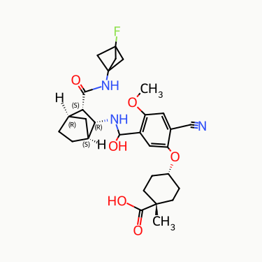 COc1cc(C#N)c(O[C@H]2CC[C@@](C)(C(=O)O)CC2)cc1C(O)N[C@@H]1[C@H]2CC[C@H](C2)[C@@H]1C(=O)NC12CC(F)(C1)C2